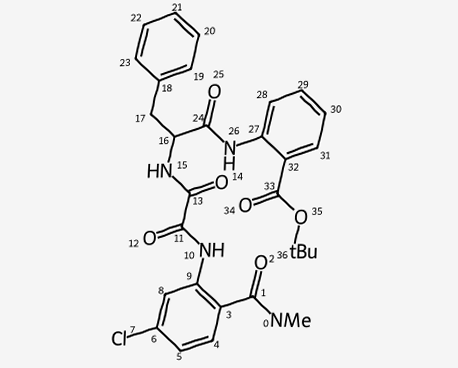 CNC(=O)c1ccc(Cl)cc1NC(=O)C(=O)NC(Cc1ccccc1)C(=O)Nc1ccccc1C(=O)OC(C)(C)C